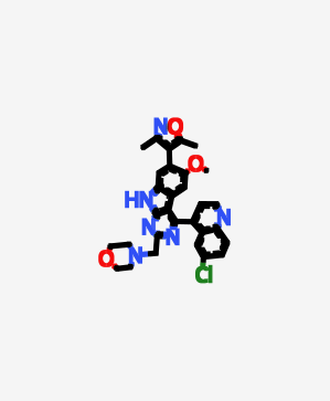 COc1cc2c(cc1-c1c(C)noc1C)[nH]c1nc(CN3CCOCC3)nc(-c3ccnc4ccc(Cl)cc34)c12